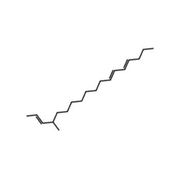 CC=CC(C)CCCCCCCC=CC=CCCC